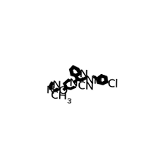 Cc1nccnc1OC1CCN(c2c(C#N)c(NCc3ccc(Cl)cc3)nc3ccccc23)CC1